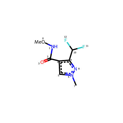 CONC(=O)c1cn(C)nc1C(F)F